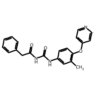 Cc1cc(NC(=O)NC(=O)Cc2ccccc2)ccc1Oc1c[c]ncc1